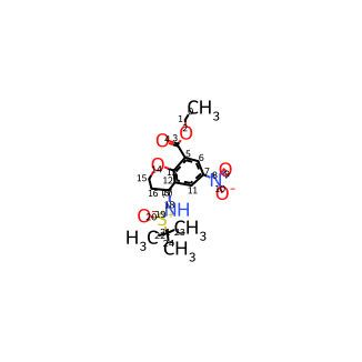 CCOC(=O)c1cc([N+](=O)[O-])cc2c1OCC[C@@H]2N[S+]([O-])C(C)(C)C